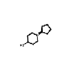 OC1CC[N+](=C2CCCC2)CC1